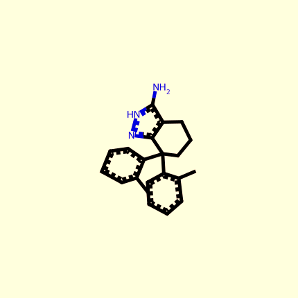 Cc1ccccc1C1(c2ccccc2C)CCCc2c1n[nH]c2N